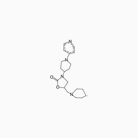 O=C1OC(CN2CC[CH]CC2)CN1C1CCN(c2ccncc2)CC1